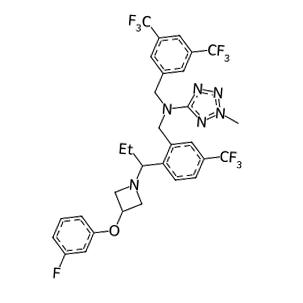 CCC(c1ccc(C(F)(F)F)cc1CN(Cc1cc(C(F)(F)F)cc(C(F)(F)F)c1)c1nnn(C)n1)N1CC(Oc2cccc(F)c2)C1